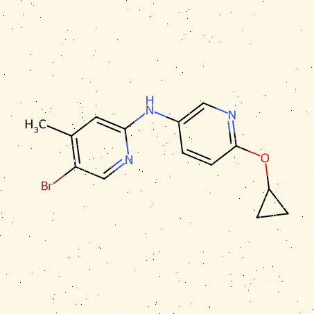 Cc1cc(Nc2ccc(OC3CC3)nc2)ncc1Br